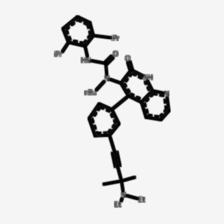 CCCCN(C(=O)Nc1c(C(C)C)cccc1C(C)C)c1c(-c2cccc(C#CC(C)(C)N(CC)CC)c2)c2cccnc2[nH]c1=O